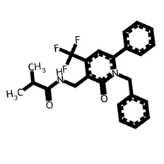 CC(C)C(=O)NCc1c(C(F)(F)F)cc(-c2ccccc2)n(Cc2ccccc2)c1=O